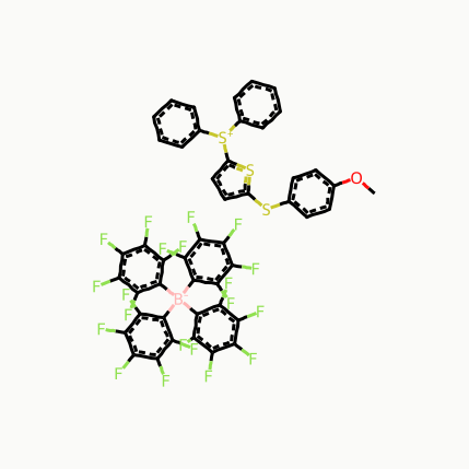 COc1ccc(Sc2ccc([S+](c3ccccc3)c3ccccc3)s2)cc1.Fc1c(F)c(F)c([B-](c2c(F)c(F)c(F)c(F)c2F)(c2c(F)c(F)c(F)c(F)c2F)c2c(F)c(F)c(F)c(F)c2F)c(F)c1F